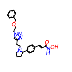 O=C(C=Cc1ccc(C2CCCN2CCc2cn(CCOCc3ccccc3)nn2)cc1)NO